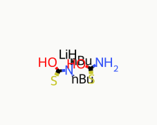 CCCCN(CCCC)C(O)=S.NC(O)=S.[LiH]